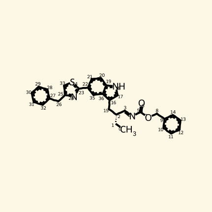 CC[C@@H](C=NC(=O)OCc1ccccc1)Cc1c[nH]c2ccc(-c3nc(Cc4ccccc4)cs3)cc12